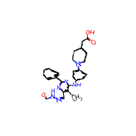 Cc1c(/C=N\NC=O)nc(-c2ccccc2)nc1Nc1ccc(N2CCC(CC(=O)O)CC2)cc1